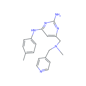 Cc1ccc(Nc2cc(CN(C)Cc3ccncc3)nc(N)n2)cc1